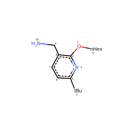 CCCCCCOc1nc(C(C)(C)C)ccc1CN